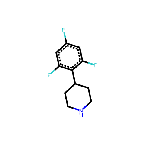 Fc1cc(F)c(C2CCNCC2)c(F)c1